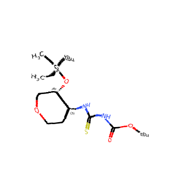 CC(C)(C)OC(=O)NC(=S)N[C@H]1CCOC[C@@H]1O[Si](C)(C)C(C)(C)C